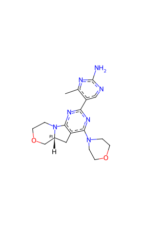 Cc1nc(N)ncc1-c1nc(N2CCOCC2)c2c(n1)N1CCOC[C@H]1C2